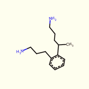 C[C](CCCN)c1ccccc1CCCN